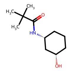 CC(C)(C)C(=O)N[C@@H]1CCC[C@H](O)C1